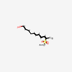 CCC(CCCCCCCCCO)S(=O)(=O)OC